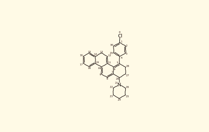 Clc1ccc(C2=c3c(ccc4c3=CCc3ccccc3-4)C(N3CCCCC3)CC2)cc1